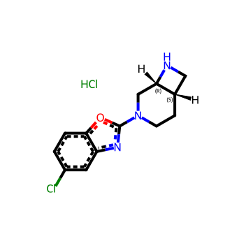 Cl.Clc1ccc2oc(N3CC[C@H]4CN[C@H]4C3)nc2c1